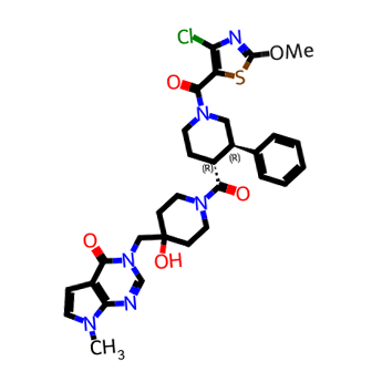 COc1nc(Cl)c(C(=O)N2CC[C@@H](C(=O)N3CCC(O)(Cn4cnc5c(ccn5C)c4=O)CC3)[C@H](c3ccccc3)C2)s1